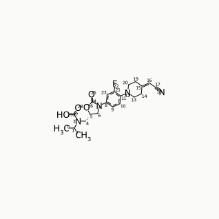 CC(C)N(C[C@H]1CN(c2ccc(N3CCC(=CC#N)CC3)c(F)c2)C(=O)O1)C(=O)O